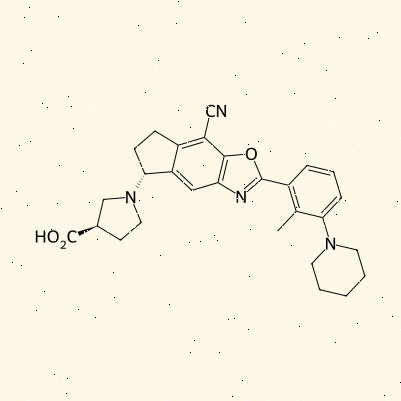 Cc1c(-c2nc3cc4c(c(C#N)c3o2)CC[C@H]4N2CC[C@@H](C(=O)O)C2)cccc1N1CCCCC1